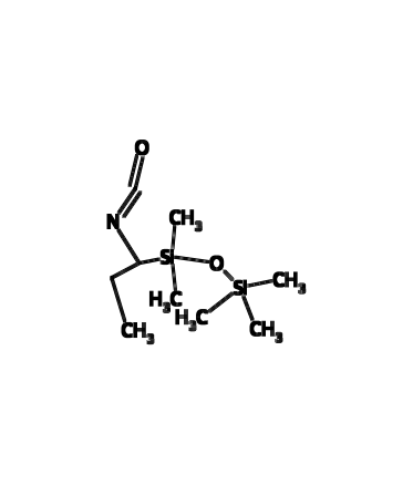 CCC(N=C=O)[Si](C)(C)O[Si](C)(C)C